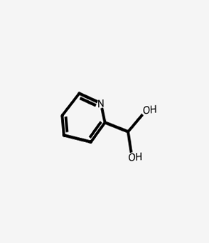 OC(O)c1ccccn1